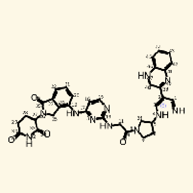 N=C/C(=C\NC1CCN(C(=O)CNc2nccc(Nc3cccc4c3CN(C3CCC(=O)NC3=O)C4=O)n2)C1)C1=Nc2ccccc2NC1